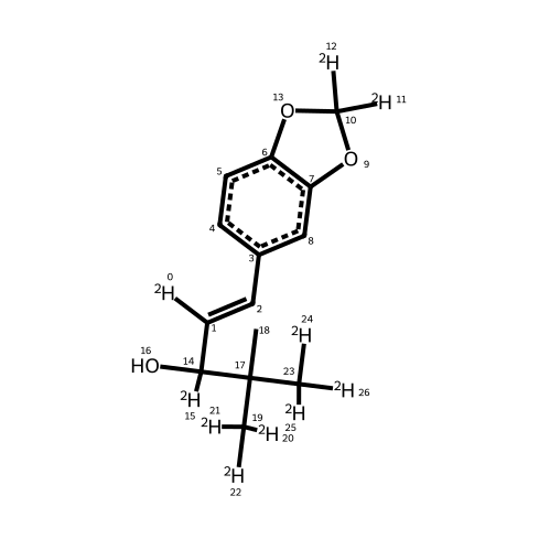 [2H]/C(=C\c1ccc2c(c1)OC([2H])([2H])O2)C([2H])(O)C(C)(C([2H])([2H])[2H])C([2H])([2H])[2H]